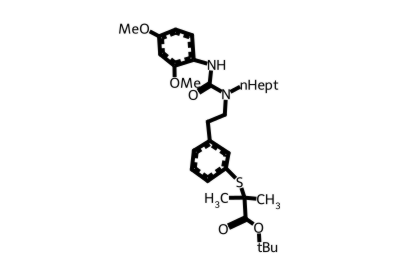 CCCCCCCN(CCc1cccc(SC(C)(C)C(=O)OC(C)(C)C)c1)C(=O)Nc1ccc(OC)cc1OC